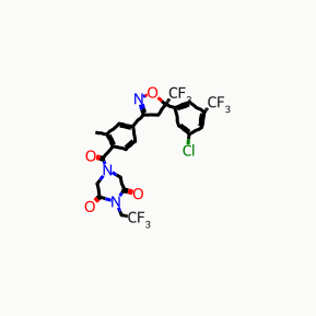 Cc1cc(C2=NOC(c3cc(Cl)cc(C(F)(F)F)c3)(C(F)(F)F)C2)ccc1C(=O)N1CC(=O)N(CC(F)(F)F)C(=O)C1